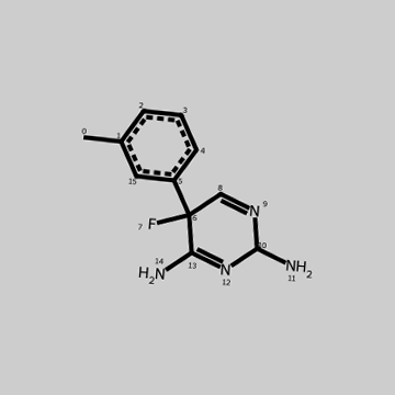 Cc1cccc(C2(F)C=NC(N)N=C2N)c1